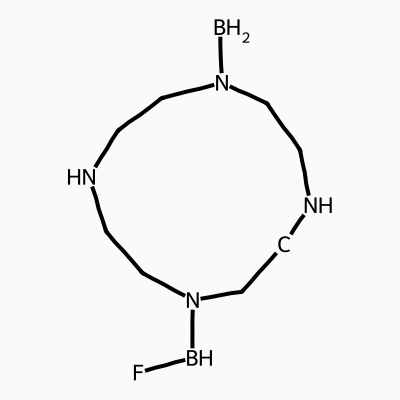 BN1CCNCCN(BF)CCNCC1